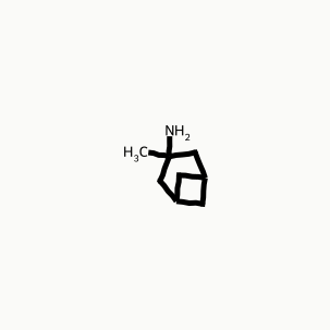 CC1(N)CC2CC(C2)C1